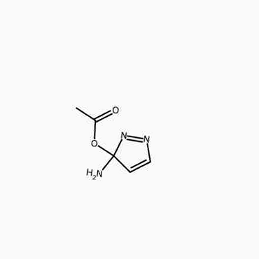 CC(=O)OC1(N)C=CN=N1